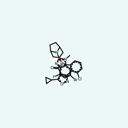 Cn1c(N2C3CCC2CC(OC(=O)c2c(-c4c(Cl)cccc4Cl)noc2C2CC2)C3)nc2c(F)cc(Br)cc21